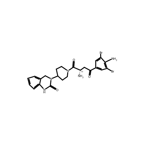 Nc1c(Br)cc(C(=O)C[C@H](N)C(=O)N2CCC(N3Cc4ccccc4NC3=O)CC2)cc1Br